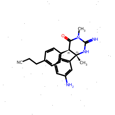 CN1C(=N)N[C@](C)(c2cccc(N)c2)[C@@H](c2ccc(CCC#N)cc2)C1=O